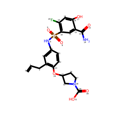 C=CCc1cc(NS(=O)(=O)c2cc(C(N)=O)c(O)cc2F)ccc1OC1CCN(C(=O)O)C1